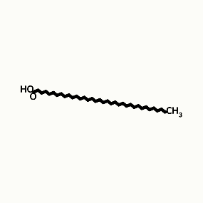 CCCCCCCCCCCCCCCCCCCCCCCCCCCCCCCCCCCC(=O)O